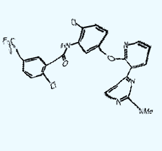 CNc1nccc(-c2cccnc2Oc2ccc(Cl)c(NC(=O)c3cc(C(F)(F)F)ccc3Cl)c2)n1